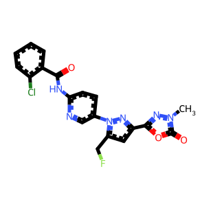 Cn1nc(-c2cc(CF)n(-c3ccc(NC(=O)c4ccccc4Cl)nc3)n2)oc1=O